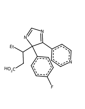 CCC(CC(=O)O)C1(c2ccc(F)cc2)N=CN=C1c1ccncc1